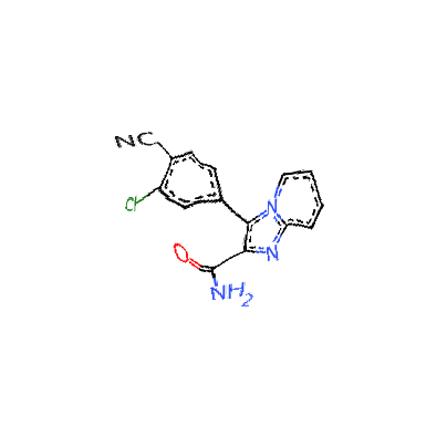 N#Cc1ccc(-c2c(C(N)=O)nc3ccccn23)cc1Cl